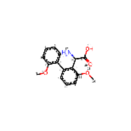 COc1ccccc1-c1cccc(OC)c1C(N)C(=O)O